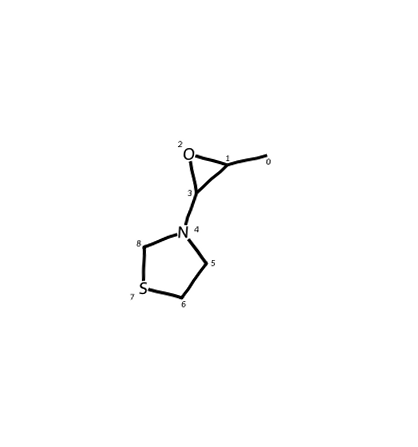 CC1OC1N1CCSC1